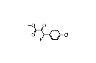 COC(=O)C(=O)C(F)c1ccc(Cl)cc1